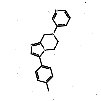 Cc1ccc(-c2cnc3n2CCN(c2cccnc2)C3)cc1